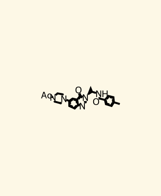 CC(=O)N1CCN(c2ccc3ncn(C4CC4NC(=O)c4ccc(C)cc4)c(=O)c3c2)CC1